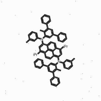 Cc1cccc(N(c2cc(-c3ccccc3)cc(-c3ccccc3)c2C)c2cc(C(C)C)c3ccc4c(N(c5cccc(C)c5)c5cc(-c6ccccc6)cc(-c6ccccc6)c5C)cc(C(C)C)c5ccc2c3c54)c1